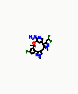 C[C@H]1Oc2cc(cnc2N)-c2c(CC(F)F)nn(C)c2Cc2cn(C)nc2-c2ccc(F)cc21